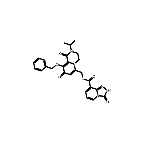 CC(C)N1CCn2c(COC(=O)c3cccn4c(=O)[nH]nc34)cc(=O)c(OCc3ccccc3)c2C1=O